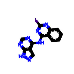 Ic1nc(Nc2ncnc3[nH]ncc23)c2ccccc2n1